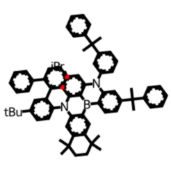 CC(C)c1cc2c3c(c1)N(c1ccc(C(C)(C)C)cc1-c1ccccc1-c1ccccc1)c1cc4c(cc1B3c1ccc(C(C)(C)c3ccccc3)cc1N2c1cccc(C(C)(C)c2ccccc2)c1)C(C)(C)CCC4(C)C